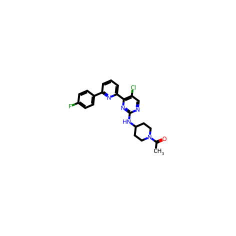 CC(=O)N1CCC(Nc2ncc(Cl)c(-c3cccc(-c4ccc(F)cc4)n3)n2)CC1